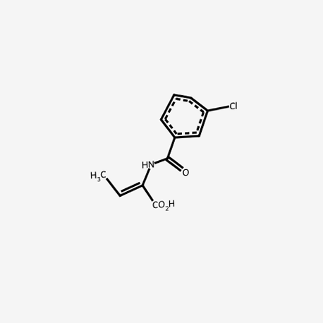 C/C=C(\NC(=O)c1cccc(Cl)c1)C(=O)O